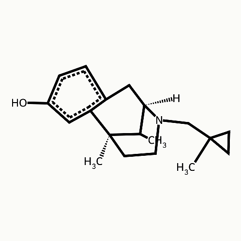 CC1[C@H]2Cc3ccc(O)cc3[C@]1(C)CCN2CC1(C)CC1